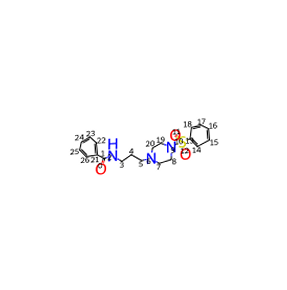 O=C(NCCCN1CCN(S(=O)(=O)c2ccccc2)CC1)c1ccccc1